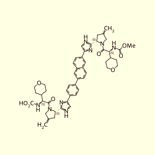 C=C1C[C@@H](c2nc(-c3ccc(-c4ccc5cc(-c6c[nH]c([C@@H]7CC(=C)CN7C(=O)[C@@H](NC(=O)OC)C7CCOCC7)n6)ccc5c4)cc3)c[nH]2)N(C(=O)[C@@H](NC(=O)O)C2CCOCC2)C1